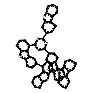 c1ccc2c(c1)oc1c(-n3c4ccccc4c4ccccc43)ccc(-c3ccc4oc5cccc(-c6nc(-c7ccc8c(c7)sc7ccccc78)nc(-c7ccc8c(c7)sc7ccccc78)n6)c5c4c3)c12